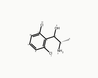 C[C@H](N)C(O)c1c(Cl)cccc1Cl